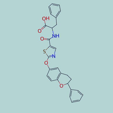 O=C(NC(Cc1ccccc1)C(=O)O)c1cnc(Oc2ccc3c(c2)CCC(c2ccccc2)O3)s1